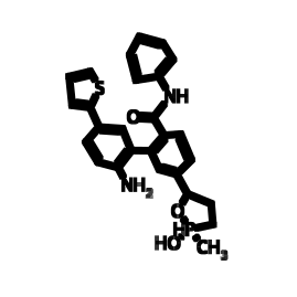 C[PH]1(O)CCC(c2ccc(C(=O)Nc3ccccc3)c(-c3cc(-c4cccs4)ccc3N)c2)O1